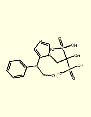 CCC(c1ccccc1)c1cncn1CC(O)(P(=O)(O)O)P(=O)(O)O